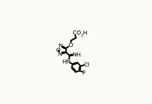 N=C(Nc1ccc(F)c(Cl)c1)c1nonc1OCCC(=O)O